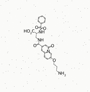 NCCCOc1ccc2cc(C(=O)NCC(NS(=O)(=O)c3ccccc3)C(=O)O)cc(=O)n2c1